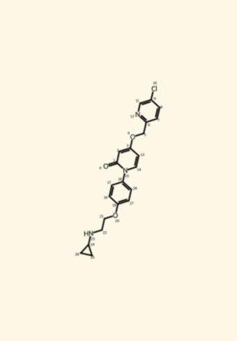 O=c1cc(OCc2ccc(Cl)cn2)ccn1-c1ccc(OCCNC2CC2)cc1